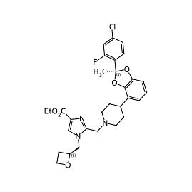 CCOC(=O)c1cn(C[C@@H]2CCO2)c(CN2CCC(c3cccc4c3O[C@@](C)(c3ccc(Cl)cc3F)O4)CC2)n1